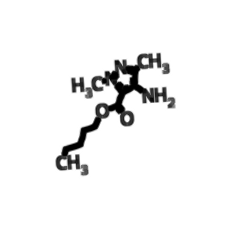 CCCCCOC(=O)c1c(N)c(C)nn1C